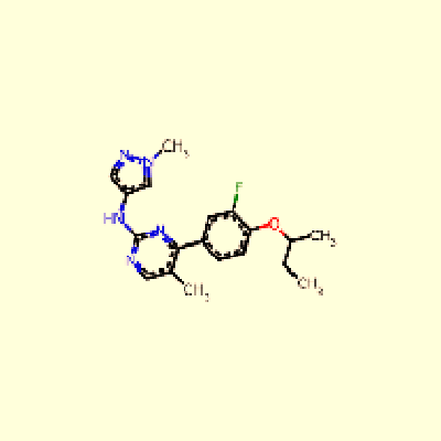 CCC(C)Oc1ccc(-c2nc(Nc3cnn(C)c3)ncc2C)cc1F